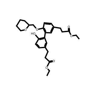 CCOC(=O)CCc1ccc(O)c(-c2cc(CCC(=O)OCC)ccc2OCC2CCCCO2)c1